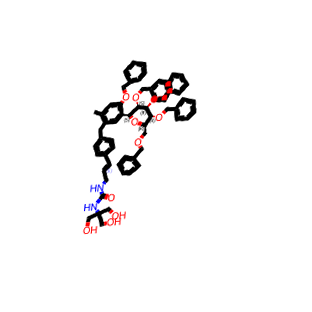 Cc1cc(OCc2ccccc2)c([C@@H]2O[C@H](COCc3ccccc3)[C@@H](OCc3ccccc3)[C@H](OCc3ccccc3)[C@H]2OCc2ccccc2)cc1Cc1ccc(/C=C/CNC(=O)NC(CO)(CO)CO)cc1